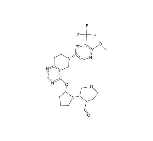 COc1ncc(N2CCc3ncnc(OC4CCCN4C4COCCC4C=O)c3C2)cc1C(F)(F)F